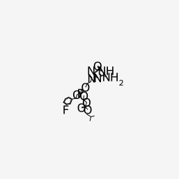 CC(C)COC(=O)OCOP(COCCn1cnc2c(=O)[nH]c(N)nc21)OCc1cccc(F)c1